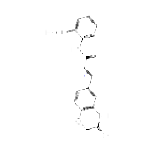 O=C(/C=C/c1ccc2c(c1)NC(=O)CO2)Nc1ccccc1C(=O)O